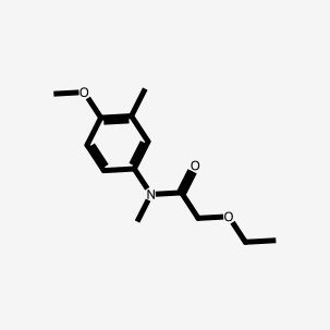 CCOCC(=O)N(C)c1ccc(OC)c(C)c1